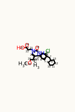 CC[C@@]1(c2ccc(CC3CCCCC3)c(Cl)c2)NC(=O)N(CCC(=O)O)C=C1CCOC